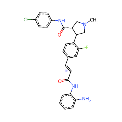 CN1CC(C(=O)Nc2ccc(Cl)cc2)C(c2ccc(/C=C/C(=O)Nc3ccccc3N)cc2F)C1